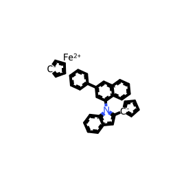 [Fe+2].c1cc[cH-]c1.c1ccc(-c2cc(-n3c(-[c-]4cccc4)cc4ccccc43)c3ccccc3c2)cc1